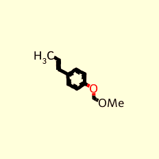 CC=Cc1ccc(OCOC)cc1